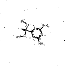 CC(C)OP(=O)(OC(C)C)c1nc(N)nc(N)n1